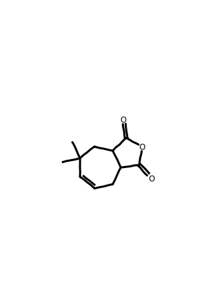 CC1(C)C=CCC2C(=O)OC(=O)C2C1